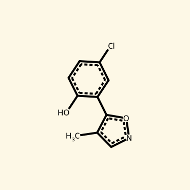 Cc1cnoc1-c1cc(Cl)ccc1O